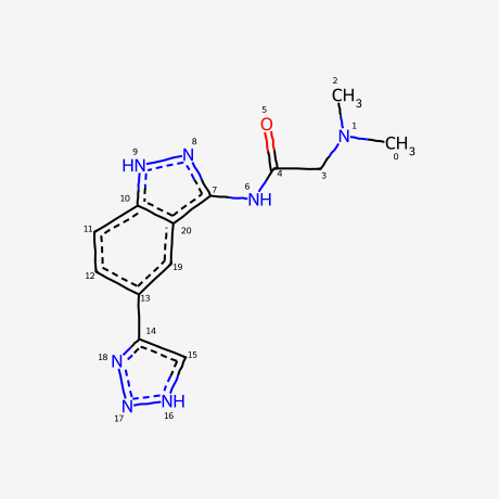 CN(C)CC(=O)Nc1n[nH]c2ccc(-c3c[nH]nn3)cc12